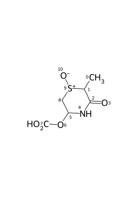 CC1C(=O)NC(OC(=O)O)C[S+]1[O-]